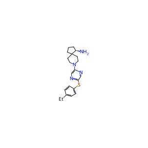 CCc1ccc(Sc2cnc(N3CCC4(CCC[C@H]4N)CC3)cn2)cc1